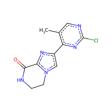 Cc1cnc(Cl)nc1-c1cn2c(n1)C(=O)NCC2